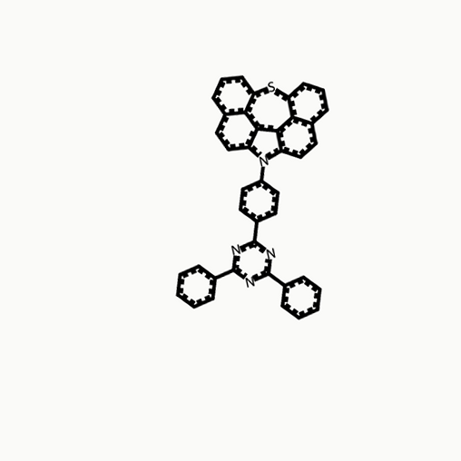 c1ccc(-c2nc(-c3ccccc3)nc(-c3ccc(-n4c5ccc6cccc7sc8cccc9ccc4c(c98)c5c67)cc3)n2)cc1